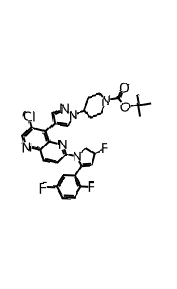 CC(C)(C)OC(=O)N1CCC(n2cc(-c3c(Cl)cnc4ccc(N5C[C@@H](F)C=C5c5cc(F)ccc5F)nc34)cn2)CC1